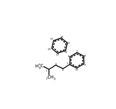 CC(C)CCc1ccccc1.c1ccccc1